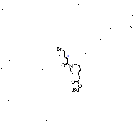 CC(C)(C)OC(=O)CC1=CCCN(C(=O)/C=C/CBr)CC1